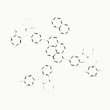 CC12CCCCC1(C)N(c1c(F)c(F)c(F)c(F)c1F)c1ccc(-c3cc(-c4ccc5c(c4)C4(C)CCCCC4(C)N5c4c(F)c(F)c(F)c(F)c4F)c4ccc5c(-c6cccc7ccccc67)cc(-c6ccc7c(c6)C6(C)CCCCC6(C)N7c6c(F)c(F)c(F)c(F)c6F)c6ccc3c4c65)cc12